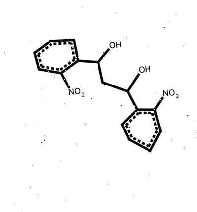 O=[N+]([O-])c1ccccc1C(O)CC(O)c1ccccc1[N+](=O)[O-]